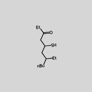 CCCCC(CC)CC(S)CC(=O)CC